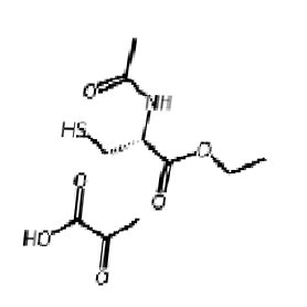 CC(=O)C(=O)O.CCOC(=O)[C@H](CS)NC(C)=O